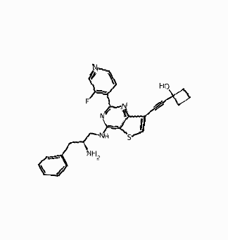 N[C@H](CNc1nc(-c2ccncc2F)nc2c(C#CC3(O)CCC3)csc12)Cc1ccccc1